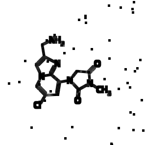 CN1C(=O)CN(c2cc(Cl)cn3cc(CN)nc23)C1=O